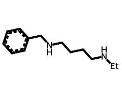 CCNCCCCNCc1ccccc1